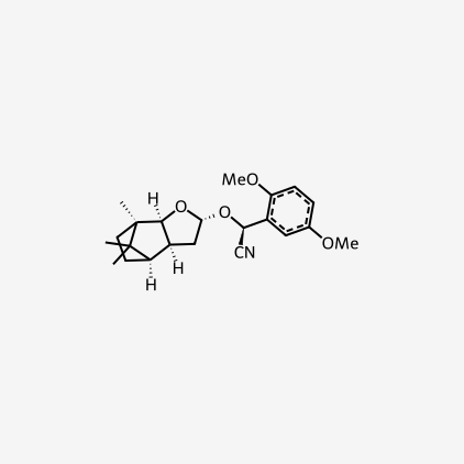 COc1ccc(OC)c([C@@H](C#N)O[C@@H]2C[C@H]3[C@H]4CC[C@@](C)([C@H]3O2)C4(C)C)c1